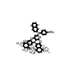 CCCCc1ccc(N(c2ccc3ccccc3c2)c2cc3c4c(n2)Oc2cc5c(cc2B4c2cc4c(cc2O3)C(C)(C)CCC4(C)C)C(C)(C)CCC5(C)C)cc1